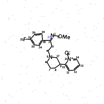 CO/N=C(\CCN1CCCC(c2cccc[n+]2[O-])C1)c1ccc(F)cc1